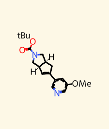 COc1cncc(C2=C[C@H]3CN(C(=O)OC(C)(C)C)C[C@H]3C2)c1